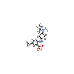 CCn1c(C(C)(C)C)cc2cc(Nc3ncc(C4CC4)cc3C(=O)O)ccc21